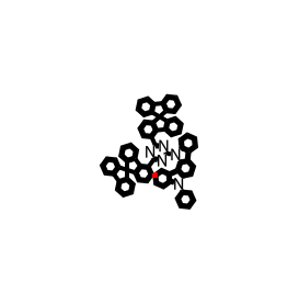 c1ccc(-n2c3ccccc3c3c2ccc2c4ccccc4n(-c4nc(-c5cccc6c5-c5ccccc5C65c6ccccc6-c6ccccc65)nc(-c5cccc6c5-c5ccccc5C65c6ccccc6-c6ccccc65)n4)c23)cc1